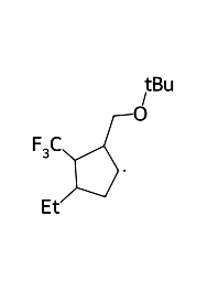 [CH2]CC1C[CH]C(COC(C)(C)C)C1C(F)(F)F